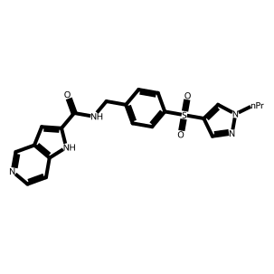 CCCn1cc(S(=O)(=O)c2ccc(CNC(=O)c3cc4cnccc4[nH]3)cc2)cn1